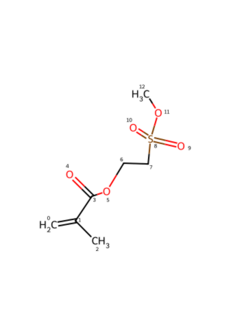 C=C(C)C(=O)OCCS(=O)(=O)OC